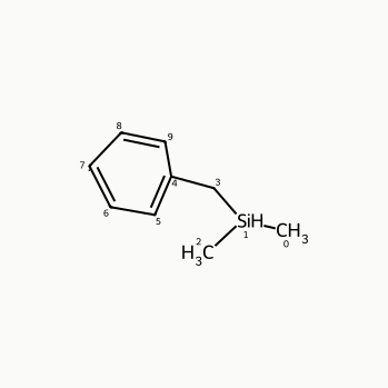 C[SiH](C)Cc1cc[c]cc1